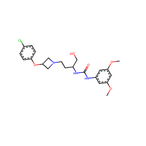 COc1cc(NC(=O)NC(CO)CCN2CC(Oc3ccc(Cl)cc3)C2)cc(OC)c1